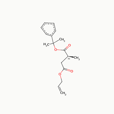 C=CCOC(=O)C[C@H](C)C(=O)OC(C)(C)c1ccccc1